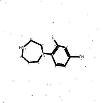 N#Cc1ccc(N2CCCNCC2)c(F)c1